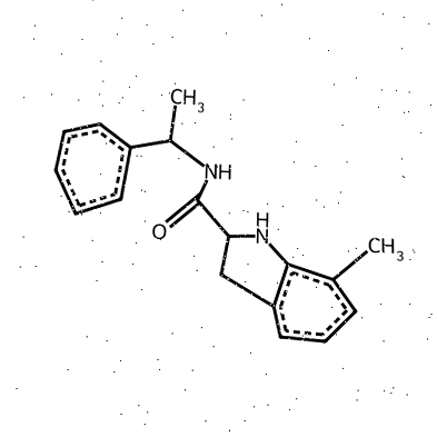 Cc1cccc2c1NC(C(=O)NC(C)c1ccccc1)C2